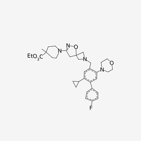 CCOC(=O)C1(C)CCN(C2=NOC3(C2)CN(Cc2cc(C4CC4)c(-c4ccc(F)cc4)cc2N2CCOCC2)C3)CC1